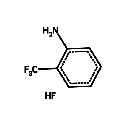 F.Nc1ccccc1C(F)(F)F